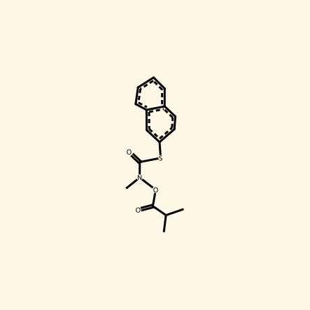 CC(C)C(=O)ON(C)C(=O)Sc1ccc2ccccc2c1